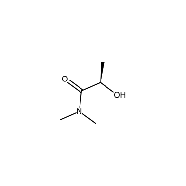 C[C@@H](O)C(=O)N(C)C